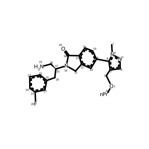 CCCOCc1cnn(C)c1-c1ccc2c(c1)CN([C@H](CN)Cc1cccc(F)c1)C2=O